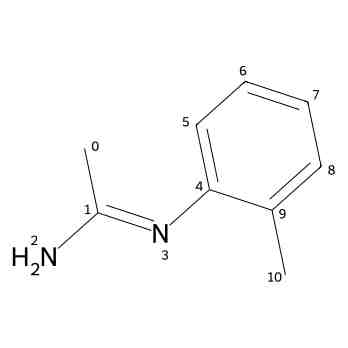 C/C(N)=N\c1ccccc1C